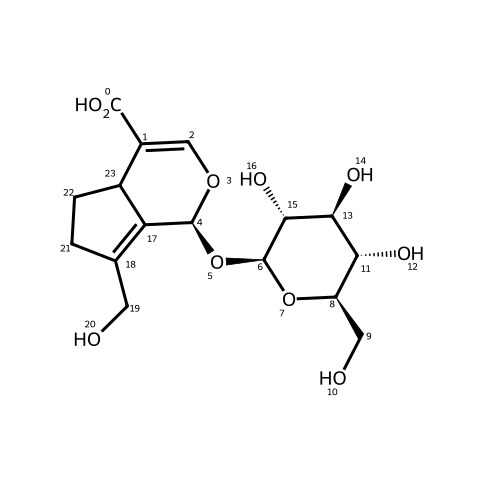 O=C(O)C1=CO[C@@H](O[C@@H]2O[C@H](CO)[C@@H](O)[C@H](O)[C@H]2O)C2=C(CO)CCC12